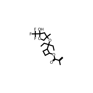 C=C(C)C(=O)OC1CCC1C(CC)(CC)OC1(C)COC(O)(C(F)(F)F)C1